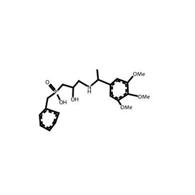 COc1cc(C(C)NCC(O)CP(=O)(O)Cc2ccccc2)cc(OC)c1OC